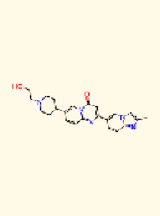 Cc1cn2cc(-c3cc(=O)n4cc(C5=CCN(CCO)CC5)ccc4n3)ccc2n1